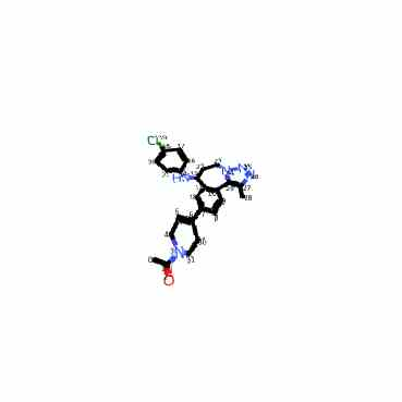 CC(=O)N1CC=C(c2ccc3c(c2)C(Nc2ccc(Cl)cc2)CCn2nnc(C)c2-3)CC1